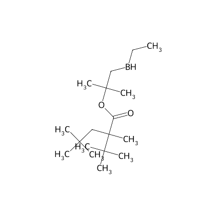 CCBCC(C)(C)OC(=O)C(C)(CC(C)(C)C)C(C)(C)C